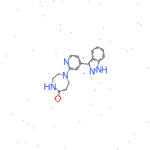 O=C1CCN(c2cc(-c3n[nH]c4ccccc34)ccn2)CCN1